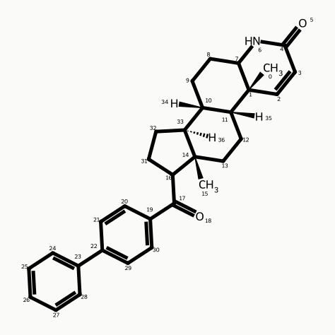 C[C@]12C=CC(=O)NC1CC[C@@H]1[C@H]2CC[C@]2(C)C(C(=O)c3ccc(-c4ccccc4)cc3)CC[C@@H]12